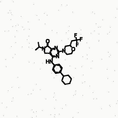 CC(C)N1Cc2c(Nc3ccc(C4CCCCC4)cc3)nc(N3CCOC(CC(F)(F)F)C3)nc2C1=O